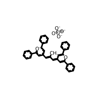 C/C(C=C1C=C(c2ccccc2)OC(c2ccccc2)=C1)=C\c1cc(-c2ccccc2)[o+]c(-c2ccccc2)c1.[O-][Cl+3]([O-])([O-])[O-]